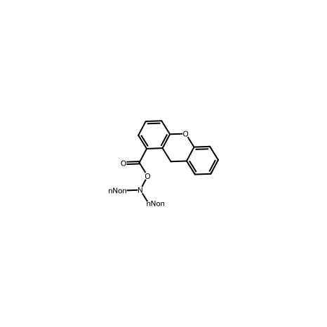 CCCCCCCCCN(CCCCCCCCC)OC(=O)c1cccc2c1Cc1ccccc1O2